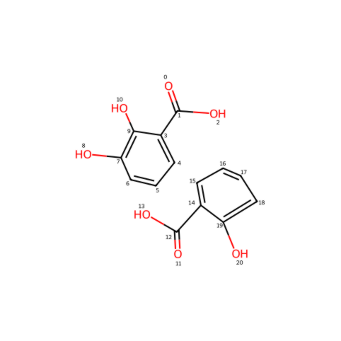 O=C(O)c1cccc(O)c1O.O=C(O)c1ccccc1O